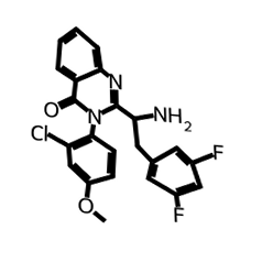 COc1ccc(-n2c(C(N)Cc3cc(F)cc(F)c3)nc3ccccc3c2=O)c(Cl)c1